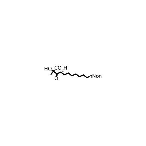 CCCCCCCCCCCCCCCCCC(=O)C(C)(O)C(=O)O